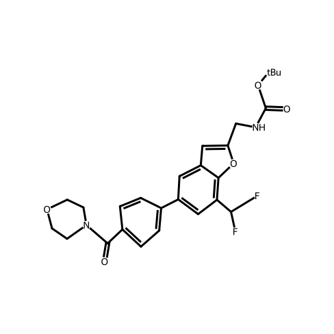 CC(C)(C)OC(=O)NCc1cc2cc(-c3ccc(C(=O)N4CCOCC4)cc3)cc(C(F)F)c2o1